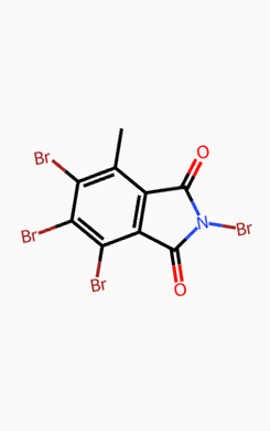 Cc1c(Br)c(Br)c(Br)c2c1C(=O)N(Br)C2=O